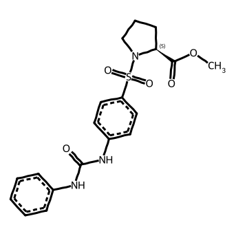 COC(=O)[C@@H]1CCCN1S(=O)(=O)c1ccc(NC(=O)Nc2ccccc2)cc1